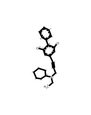 CCN(CC#Cc1cc(Cl)c(-c2ccccc2)c(Cl)c1)C1CCCCC1